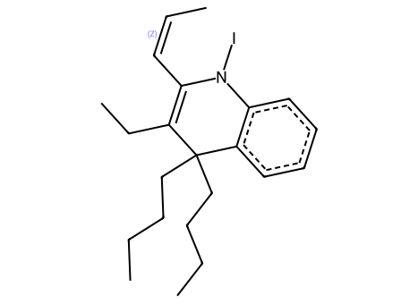 C/C=C\C1=C(CC)C(CCCC)(CCCC)c2ccccc2N1I